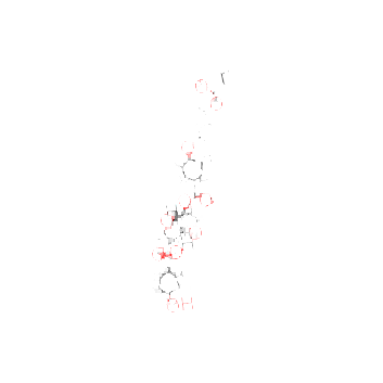 C=CC(=O)OCCCCOc1ccc(C(=O)O[C@H]2CO[C@H]3[C@@H]2OC[C@H]3OC(=O)c2ccc(O)cc2)cc1